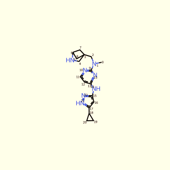 CN(CC12CNC(C1)C2)c1nccc(Nc2cc(C3CC3)[nH]n2)n1